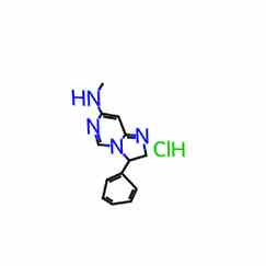 CNC1=CC2=NCC(c3ccccc3)N2C=N1.Cl